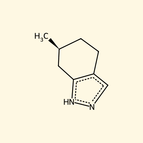 C[C@H]1CCc2cn[nH]c2C1